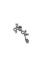 O=C1Nc2cccc(F)c2C1=CNc1ccc(NCCCn2ccnc2)c(F)c1